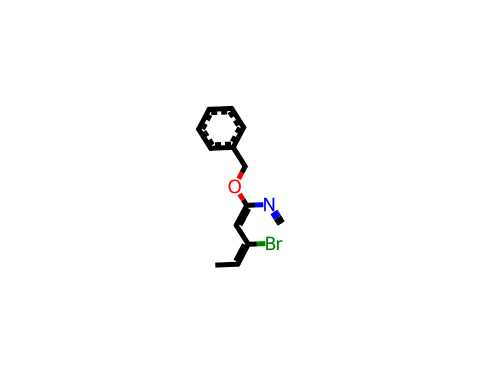 C=N/C(=C\C(Br)=C/C)OCc1ccccc1